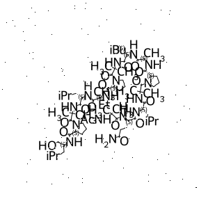 CC[C@H](C)[C@H](NC(=O)[C@H](C)NC(=O)[C@@H]1CCCN1C(=O)C(C)(C)NC(=O)[C@H](CC(C)C)NC(=O)[C@H](CCC(N)=O)NC(=O)C(C)(C)NC(C)=O)C(=O)NC(C)(C)C(=O)N1CCC[C@H]1C(=O)N[C@](C)(CC)C(=O)N[C@@H](CC(C)C)C(=O)NC(C)(C)C(=O)N1CCC[C@H]1C(=O)N[C@H](CO)CC(C)C